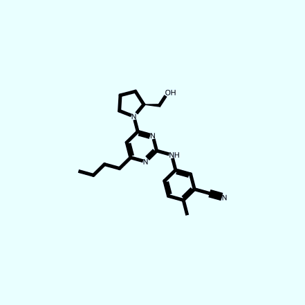 CCCCc1cc(N2CCC[C@H]2CO)nc(Nc2ccc(C)c(C#N)c2)n1